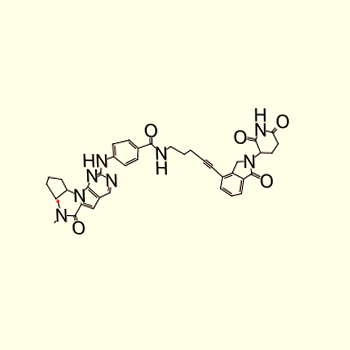 CN(C)C(=O)c1cc2cnc(Nc3ccc(C(=O)NCCCC#Cc4cccc5c4CN(C4CCC(=O)NC4=O)C5=O)cc3)nc2n1C1CCCC1